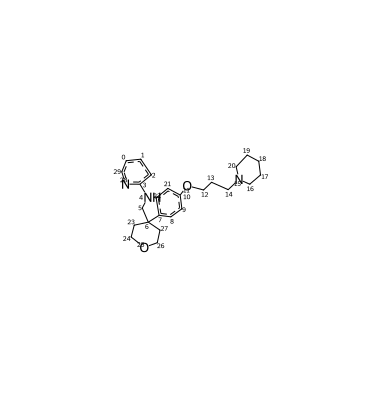 c1ccc(NCC2(c3ccc(OCCCN4CCCCC4)cc3)CCOCC2)nc1